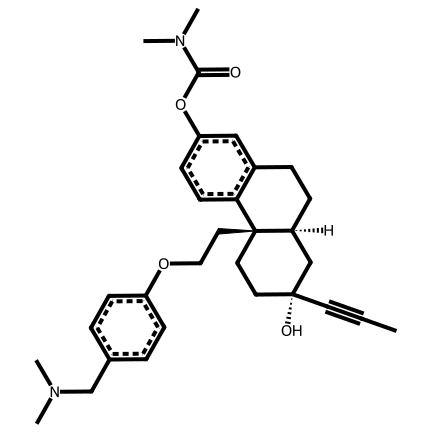 CC#C[C@@]1(O)CC[C@]2(CCOc3ccc(CN(C)C)cc3)c3ccc(OC(=O)N(C)C)cc3CC[C@H]2C1